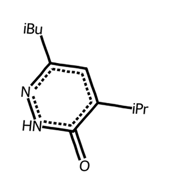 CCC(C)c1cc(C(C)C)c(=O)[nH]n1